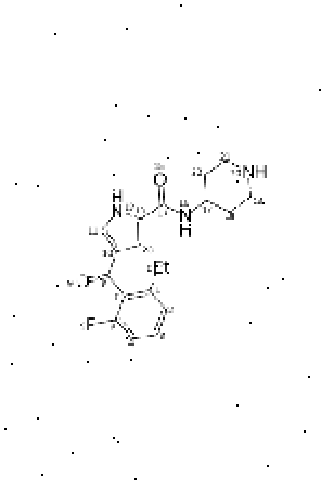 CCc1cccc(F)c1C(=O)c1c[nH]c(C(=O)NC2CCNCC2)c1